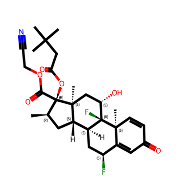 C[C@@H]1C[C@H]2[C@@H]3C[C@H](F)C4=CC(=O)C=C[C@]4(C)[C@@]3(F)[C@@H](O)C[C@]2(C)[C@@]1(OC(=O)CC(C)(C)C)C(=O)OCC#N